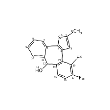 Cc1cc2c(s1)-c1ccccc1C(O)c1ccc(F)c(F)c1-2